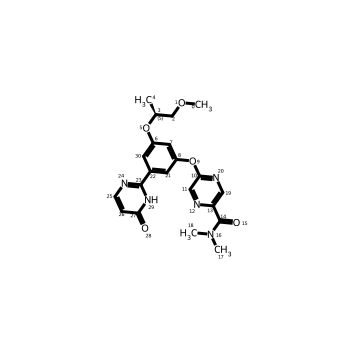 COC[C@H](C)Oc1cc(Oc2cnc(C(=O)N(C)C)cn2)cc(-c2nccc(=O)[nH]2)c1